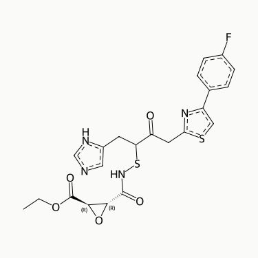 CCOC(=O)[C@@H]1O[C@H]1C(=O)NSC(Cc1cnc[nH]1)C(=O)Cc1nc(-c2ccc(F)cc2)cs1